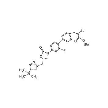 CCN(Cc1ccc(-c2ccc(N3C[C@H](Cn4cc([Si](C)(C)C)nn4)OC3=O)cc2F)cc1)C(=O)OC(C)(C)C